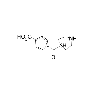 O=C(O)c1ccc(C(=O)[SH]2CCNCC2)cc1